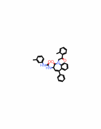 Cc1cccc(NC(=O)NC2C=C(c3ccccc3)c3ccccc3N(CC(=O)c3ccccc3C)C2=O)c1